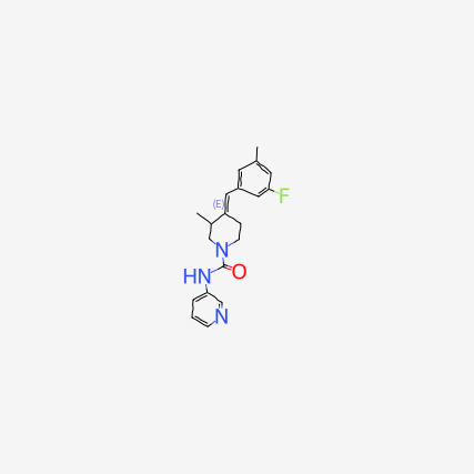 Cc1cc(F)cc(/C=C2\CCN(C(=O)Nc3cccnc3)CC2C)c1